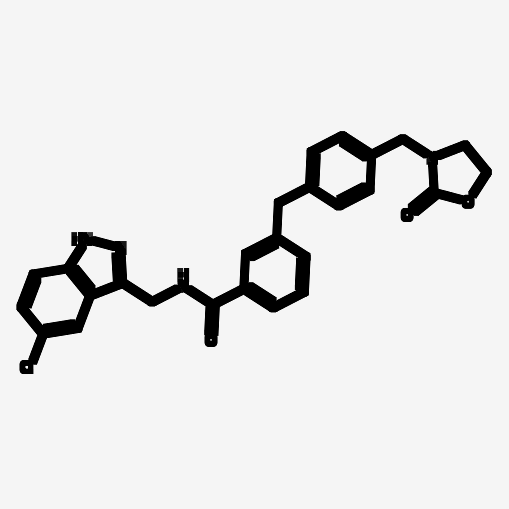 O=C(NCc1n[nH]c2ccc(Cl)cc12)c1cccc(Cc2ccc(CN3CCOC3=O)cc2)c1